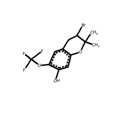 CC1(C)Oc2cc(O)c(OC(F)(F)F)cc2CC1Br